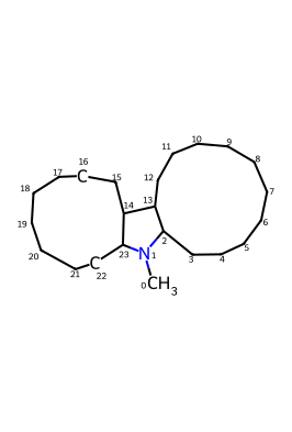 CN1C2CCCCCCCCCCC2C2CCCCCCCCC21